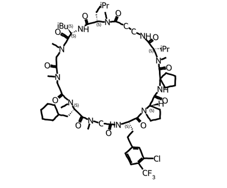 CC[C@H](C)[C@@H]1NC(=O)[C@H](CC(C)C)N(C)C(=O)CCNC(=O)[C@H](C(C)C)N(C)C(=O)C2(CCCC2)NC(=O)[C@@H]2CCCN2C(=O)[C@H](CCc2ccc(C(F)(F)F)c(Cl)c2)NC(=O)CN(C)C(=O)[C@H](CC2CCCCC2)N(C)C(=O)CN(C)C(=O)CN(C)C1=O